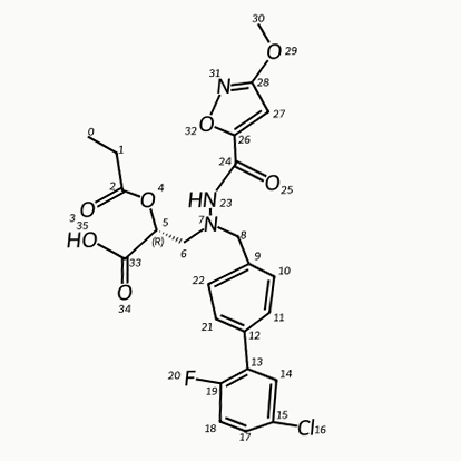 CCC(=O)O[C@H](CN(Cc1ccc(-c2cc(Cl)ccc2F)cc1)NC(=O)c1cc(OC)no1)C(=O)O